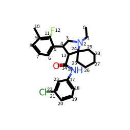 CCN1CC(c2cccc(C)c2F)C(C(=O)Nc2cccc(Cl)c2)C12CCCCC2